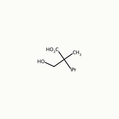 CC(C)C(C)(CO)C(=O)O